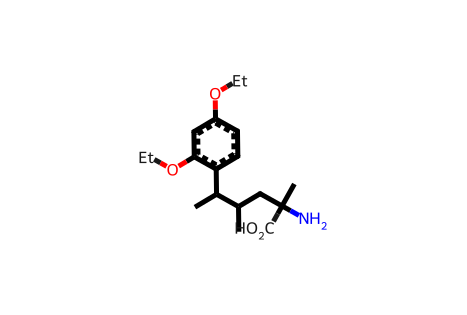 CCOc1ccc(C(C)C(C)CC(C)(N)C(=O)O)c(OCC)c1